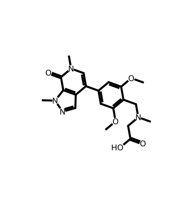 COc1cc(-c2cn(C)c(=O)c3c2cnn3C)cc(OC)c1CN(C)CC(=O)O